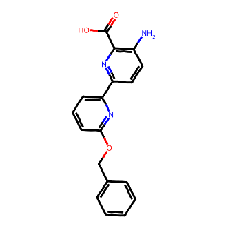 Nc1ccc(-c2cccc(OCc3ccccc3)n2)nc1C(=O)O